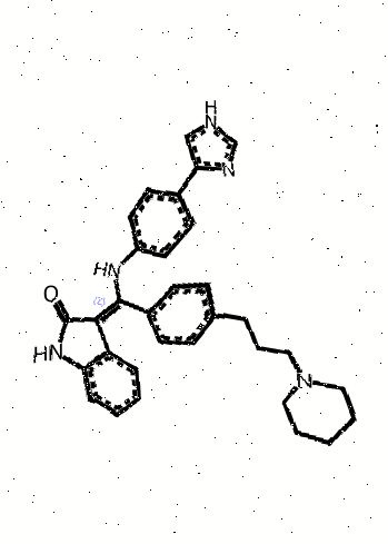 O=C1Nc2ccccc2/C1=C(/Nc1ccc(-c2c[nH]cn2)cc1)c1ccc(CCCN2CCCCC2)cc1